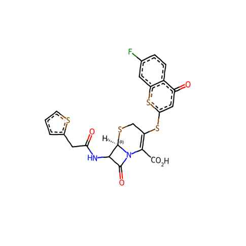 O=C(Cc1cccs1)NC1C(=O)N2C(C(=O)O)=C(Sc3cc(=O)c4ccc(F)cc4s3)CS[C@H]12